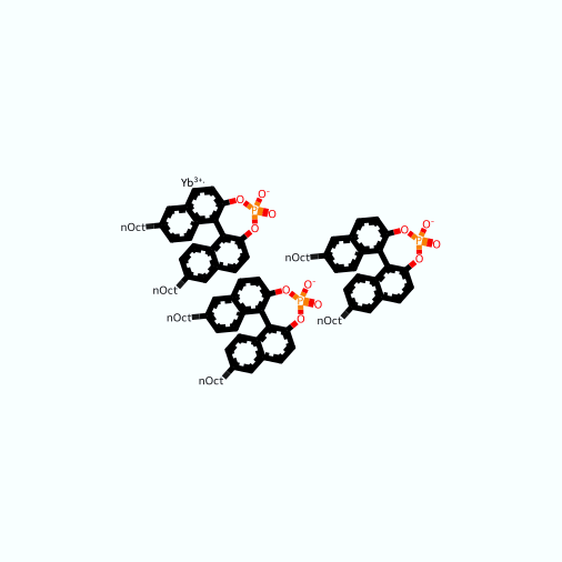 CCCCCCCCc1ccc2c3c(ccc2c1)OP(=O)([O-])Oc1ccc2cc(CCCCCCCC)ccc2c1-3.CCCCCCCCc1ccc2c3c(ccc2c1)OP(=O)([O-])Oc1ccc2cc(CCCCCCCC)ccc2c1-3.CCCCCCCCc1ccc2c3c(ccc2c1)OP(=O)([O-])Oc1ccc2cc(CCCCCCCC)ccc2c1-3.[Yb+3]